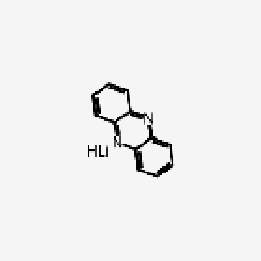 [LiH].c1ccc2nc3ccccc3nc2c1